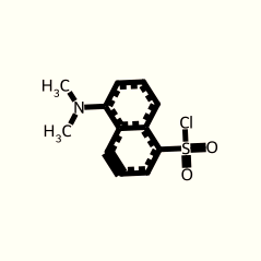 CN(C)c1cccc2c(S(=O)(=O)Cl)cc#cc12